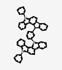 c1ccc(-n2c3ccccc3c3c4c(ccc32)-c2ccccc2C4c2cccc(-n3c4ccccc4c4ccc5c(c6ccccc6n5-c5ccccc5)c43)c2)cc1